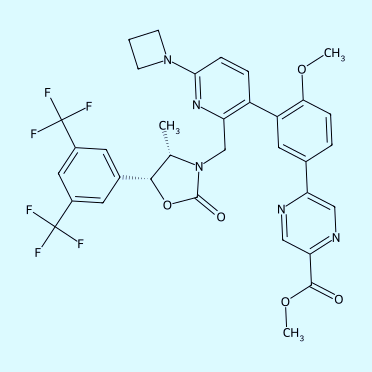 COC(=O)c1cnc(-c2ccc(OC)c(-c3ccc(N4CCC4)nc3CN3C(=O)O[C@H](c4cc(C(F)(F)F)cc(C(F)(F)F)c4)[C@@H]3C)c2)cn1